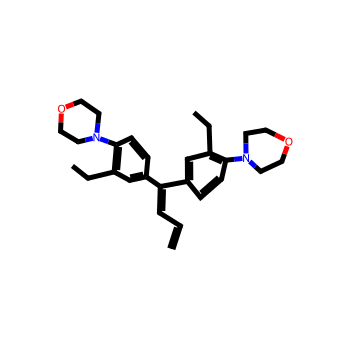 C=CC=C(c1ccc(N2CCOCC2)c(CC)c1)c1ccc(N2CCOCC2)c(CC)c1